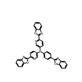 c1ccc2oc(-c3ccc(N(c4ccc(-c5nc6ccccc6o5)nc4)c4ccc(-c5nc6ccccc6o5)nc4)cc3)nc2c1